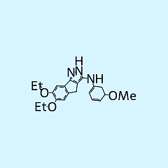 CCOc1cc2c(cc1OCC)-c1n[nH]c(NC3=CC=CC(OC)C3)c1C2